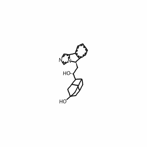 O[C@H](C[C@@H]1c2ccccc2-c2cncn21)C1C2CC3CC1CC(O)(C3)C2